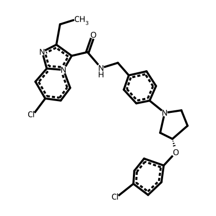 CCc1nc2cc(Cl)ccn2c1C(=O)NCc1ccc(N2CC[C@H](Oc3ccc(Cl)cc3)C2)cc1